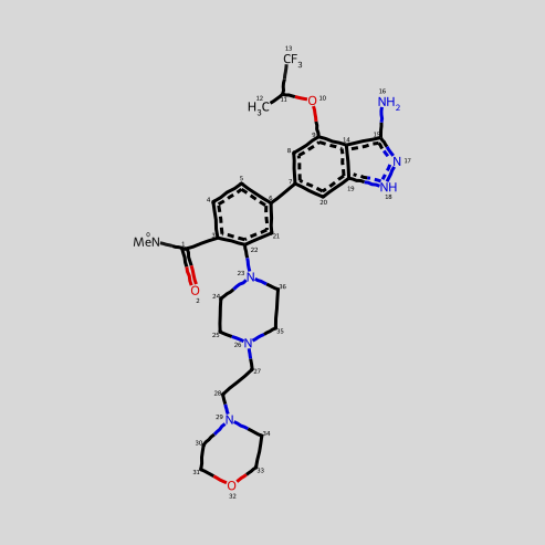 CNC(=O)c1ccc(-c2cc(OC(C)C(F)(F)F)c3c(N)n[nH]c3c2)cc1N1CCN(CCN2CCOCC2)CC1